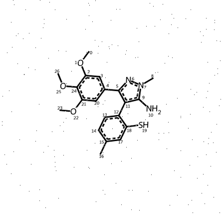 COc1cc(-c2nn(C)c(N)c2-c2ccc(C)cc2S)cc(OC)c1OC